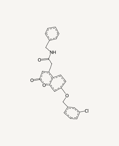 O=C(Cc1cc(=O)oc2cc(OCc3cccc(Cl)c3)ccc12)NCc1ccccc1